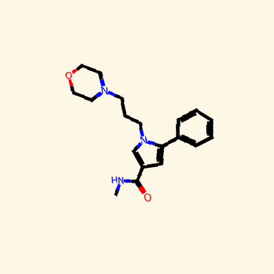 CNC(=O)c1cc(-c2ccccc2)n(CCCN2CCOCC2)c1